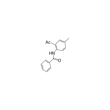 CC(=O)c1cc(C)ccc1NC(=O)c1ccccc1